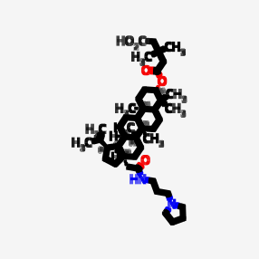 C=C(C)[C@@H]1CC[C@]2(CC(=O)NCCCN3CCCC3)CC[C@]3(C)[C@H](CCC4[C@@]5(C)CC[C@H](OC(=O)CC(C)(C)CC(=O)O)C(C)(C)C5CC[C@]43C)[C@@H]12